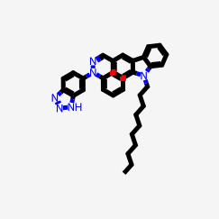 CCCCCCCCCCn1c2ccccc2c2cc(/C=N\N(c3ccccc3)c3ccc4nn[nH]c4c3)ccc21